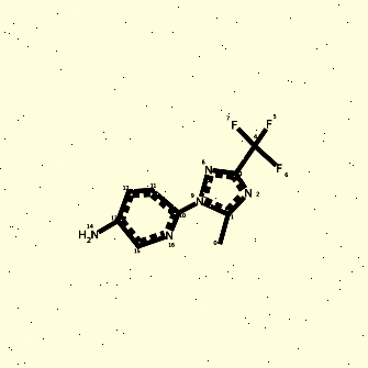 Cc1nc(C(F)(F)F)nn1-c1ccc(N)cn1